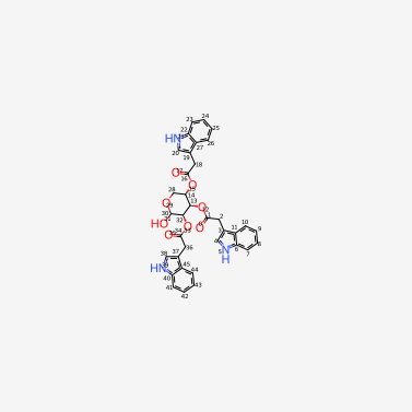 O=C(Cc1c[nH]c2ccccc12)O[C@@H]1[C@H](OC(=O)Cc2c[nH]c3ccccc23)COC(O)[C@@H]1OC(=O)Cc1c[nH]c2ccccc12